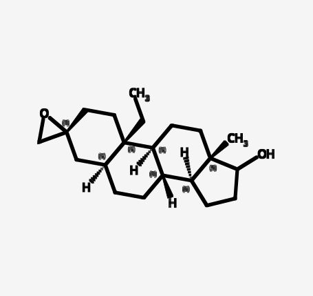 CC[C@]12CC[C@]3(CO3)C[C@@H]1CC[C@@H]1[C@@H]2CC[C@]2(C)C(O)CC[C@@H]12